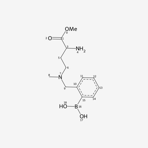 COC(=O)C(N)CCN(C)Cc1ccccc1B(O)O